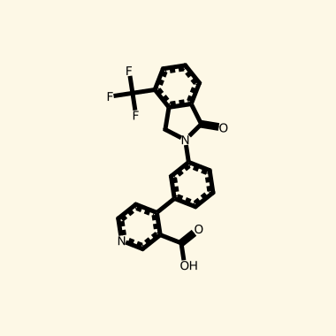 O=C(O)c1cnccc1-c1cccc(N2Cc3c(cccc3C(F)(F)F)C2=O)c1